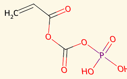 C=CC(=O)OC(=O)OP(=O)(O)O